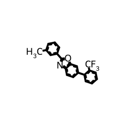 Cc1cccc(-c2nc3ccc(-c4ccccc4C(F)(F)F)cc3o2)c1